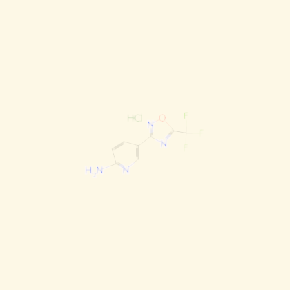 Cl.Nc1ccc(-c2noc(C(F)(F)F)n2)cn1